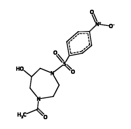 CC(=O)N1CCN(S(=O)(=O)c2ccc([N+](=O)[O-])cc2)CC(O)C1